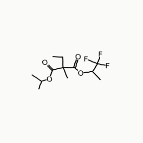 CCC(C)(C(=O)OC(C)C)C(=O)OC(C)C(F)(F)F